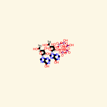 O=P(O)(O)OP(=O)(O)OP(=O)(O)OP(=O)(O)OP(=O)(O)O.[2H]C(O)[C@H]1O[C@@H](n2cnc3c(O)ncnc32)[C@H](O)[C@@H]1O.[2H]C(O)[C@H]1O[C@@H](n2cnc3c(O)ncnc32)[C@H](O)[C@@H]1O